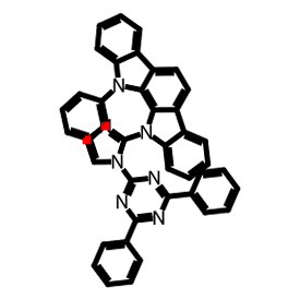 c1ccc(-c2nc(-c3ccccc3)nc(-n3ccnc3-n3c4ccccc4c4ccc5c6ccccc6n(-c6ccccc6)c5c43)n2)cc1